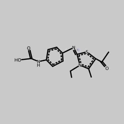 CCn1c(C)c(C(C)=O)s/c1=N/c1ccc(NC(=O)O)cc1